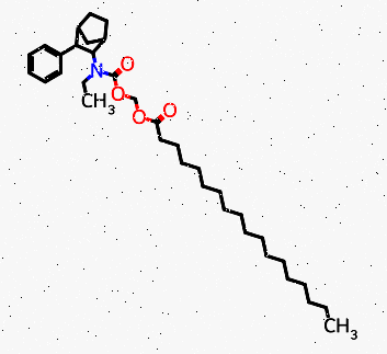 CCCCCCCCCCCCCCCCCC(=O)OCOC(=O)N(CC)C1C2CCC(C2)C1c1ccccc1